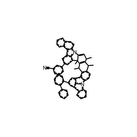 CC1C=C2n3c4ccc5ccccc5c4c4cc(-c5cccc(C#N)c5)cc(c43)C2(C)C2=C1C(C)c1ccc3c(c1C2C)c1cc(-c2ccccc2-c2ccccc2)cc2c4ccccc4n3c21